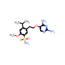 COc1cc(C(C)C)c(CCOc2cnc(N)nc2N)cc1S(N)(=O)=O